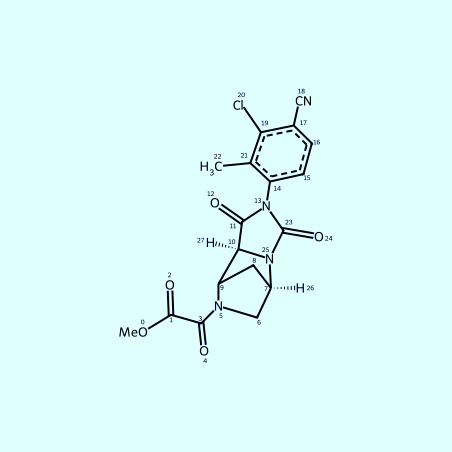 COC(=O)C(=O)N1C[C@H]2CC1[C@H]1C(=O)N(c3ccc(C#N)c(Cl)c3C)C(=O)N21